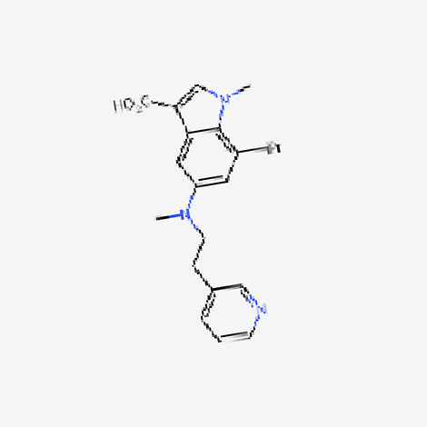 CC(C)c1cc(N(C)CCc2cccnc2)cc2c(C(=O)O)cn(C)c12